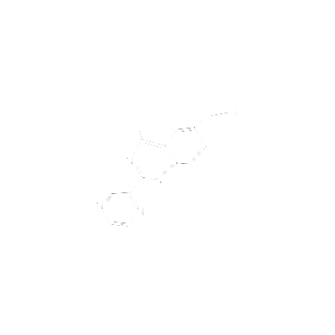 CCOc1ccc2nc(-c3cnccn3)nc(Cl)c2c1